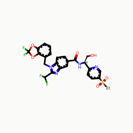 CCS(=O)(=O)c1ccc([C@H](CO)NC(=O)c2ccc3c(c2)nc(C(F)F)n3Cc2cccc3c2OC(F)(F)O3)nc1